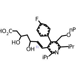 CCCOCc1c(C(C)C)nc(C(C)C)c(/C=C/C(O)CC(O)CC(=O)O)c1-c1ccc(F)cc1